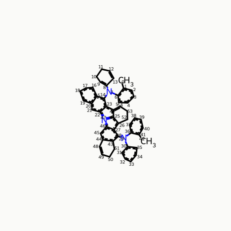 Cc1ccccc1N(C1=CCCC=C1)c1c2ccccc2cc2c1c1c3c(c4c(N(c5ccccc5)c5ccccc5C)c5c(cc4n32)C=CCC5)CCC=1